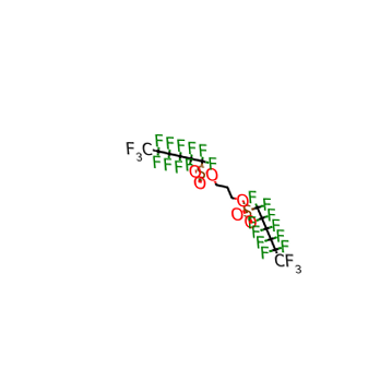 O=S(=O)(OCCCOS(=O)(=O)C(F)(F)C(F)(F)C(F)(F)C(F)(F)C(F)(F)C(F)(F)F)C(F)(F)C(F)(F)C(F)(F)C(F)(F)C(F)(F)C(F)(F)F